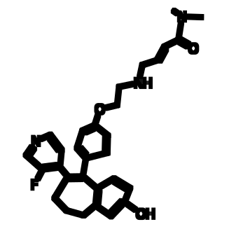 CN(C)C(=O)/C=C/CNCCOc1ccc(C2=C(c3ccncc3F)CCCc3cc(O)ccc32)cc1